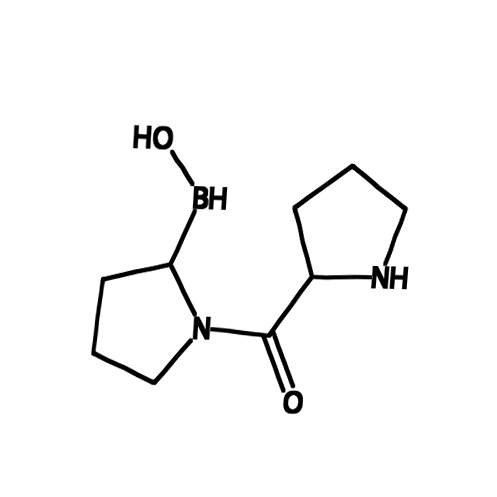 O=C(C1CCCN1)N1CCCC1BO